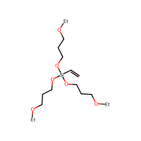 C=C[Si](OCCCOCC)(OCCCOCC)OCCCOCC